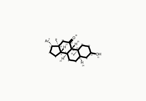 CC(=O)[C@H]1CC[C@H]2[C@@H]3CC[C@@H]4CC(O)CC[C@]4(C)[C@H]3C(=O)C[C@]12C